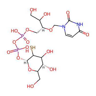 O=c1ccn(CO[C@H](COP(=O)(O)OP(=O)(O)O[C@H]2OC(CO)[C@@H](O)C(O)C2S)C(O)CO)c(=O)[nH]1